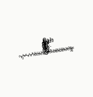 CC(C)CCCCCCCCCCCCCCCOCCCCCCCCCCCCCCCC(C)C.O=P([O-])([O-])[O-].O=P([O-])([O-])[O-].[Ca+2].[Ca+2].[Ca+2]